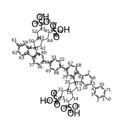 Cc1ccc(-c2ccc3c(c2)C(CCCCS(=O)(=O)O)(CCCCS(=O)(=O)O)c2cc(-c4ccc(-c5ccc6c(c5)C(CCCCS(=O)(=O)O)(CCCCS(=O)(=O)O)c5cc(C)ccc5-6)cc4)ccc2-3)cc1